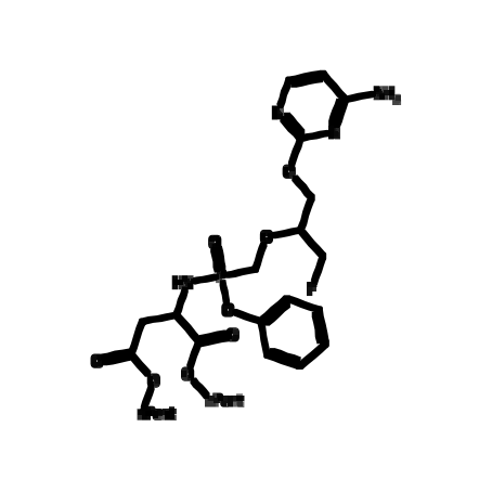 CCCCCOC(=O)CC(NP(=O)(COC(CF)COc1nccc(N)n1)Oc1ccccc1)C(=O)OCCCCC